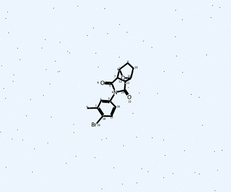 Cc1cc(N2C(=O)C3C4CCC(O4)C3C2=O)ccc1Br